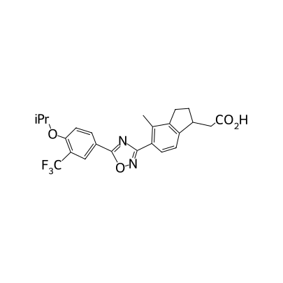 Cc1c(-c2noc(-c3ccc(OC(C)C)c(C(F)(F)F)c3)n2)ccc2c1CCC2CC(=O)O